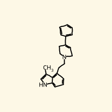 Cc1c[nH]c2cccc(CCN3CC=C(c4ccccc4)CC3)c12